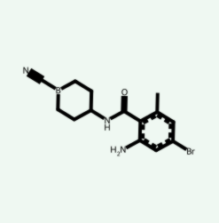 Cc1cc(Br)cc(N)c1C(=O)NC1CCB(C#N)CC1